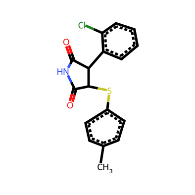 Cc1ccc(SC2C(=O)NC(=O)C2c2ccccc2Cl)cc1